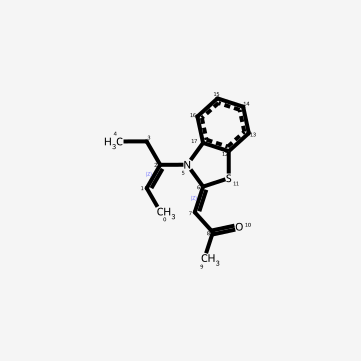 C/C=C(/CC)N1/C(=C/C(C)=O)Sc2ccccc21